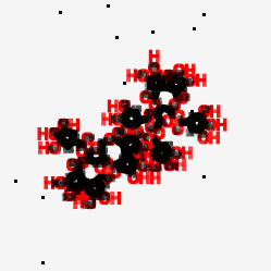 O=C(OCC1OC(OC(=O)c2cc(O)c(O)c(O)c2)C2OC(=O)c3cc(O)c(O)c(O)c3-c3c(cc(O)c(O)c3O)C(=O)OC2C1OC(=O)c1cc(O)c(O)c(O)c1Oc1cc2c(c(O)c1O)-c1c(cc(O)c(O)c1O)C(=O)OC1C(COC2=O)OC(OC(=O)c2cc(O)c(O)c(O)c2)C2OC(=O)c3cc(O)c(O)c(O)c3-c3c(cc(O)c(O)c3O)C(=O)OC12)c1cc(O)c(O)c(O)c1